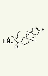 CCCC1(C(=O)c2ccc(Cl)c(Oc3ccc(F)cc3)c2)CCNC1